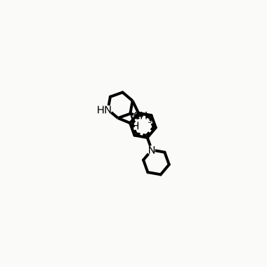 C[C@H]1C2CCNC1c1cc(N3CCCCC3)ccc12